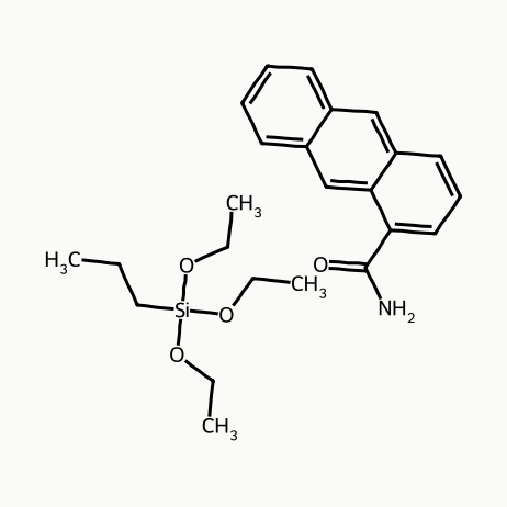 CCC[Si](OCC)(OCC)OCC.NC(=O)c1cccc2cc3ccccc3cc12